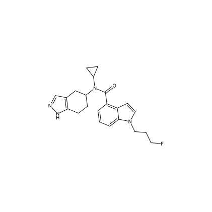 O=C(c1cccc2c1ccn2CCCF)N(C1CC1)C1CCc2[nH]ncc2C1